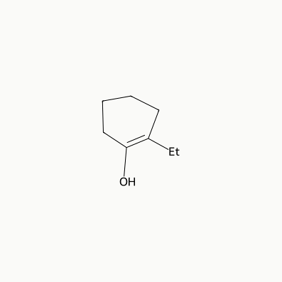 CCC1=C(O)CCCC1